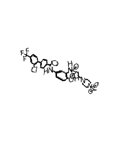 CS(=O)(=O)N1CCN(CCS(=O)(=O)Nc2cc(NC(=O)c3ccc(-c4ccc(C(F)(F)F)cc4Cl)cc3)ccc2O)CC1